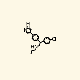 CCCNCC(c1ccc(Cl)cc1)c1ccc(-c2cn[nH]c2)cc1